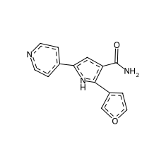 NC(=O)c1cc(-c2ccncc2)[nH]c1-c1ccoc1